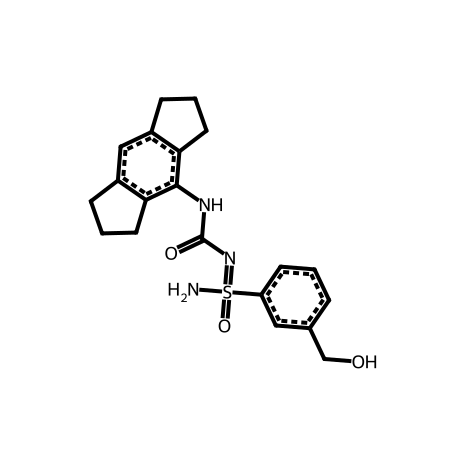 NS(=O)(=NC(=O)Nc1c2c(cc3c1CCC3)CCC2)c1cccc(CO)c1